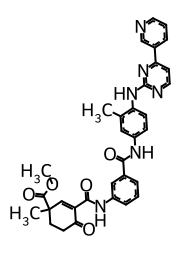 COC(=O)C1(C)C=C(C(=O)Nc2cccc(C(=O)Nc3ccc(Nc4nccc(-c5cccnc5)n4)c(C)c3)c2)C(=O)CC1